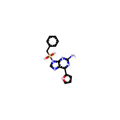 Nc1nc(-c2ccco2)c2ncn(S(=O)(=O)Cc3ccccc3)c2n1